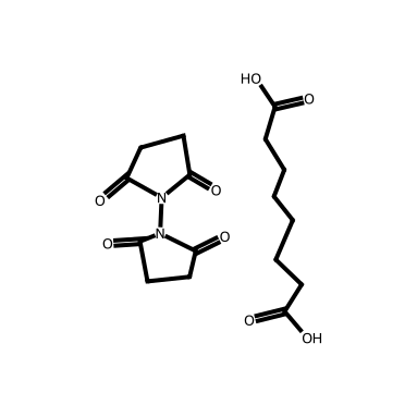 O=C(O)CCCCCCC(=O)O.O=C1CCC(=O)N1N1C(=O)CCC1=O